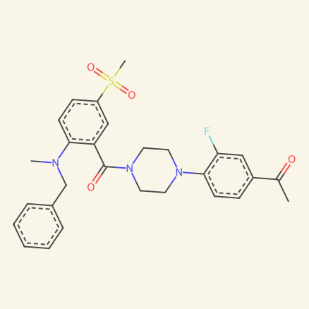 CC(=O)c1ccc(N2CCN(C(=O)c3cc(S(C)(=O)=O)ccc3N(C)Cc3ccccc3)CC2)c(F)c1